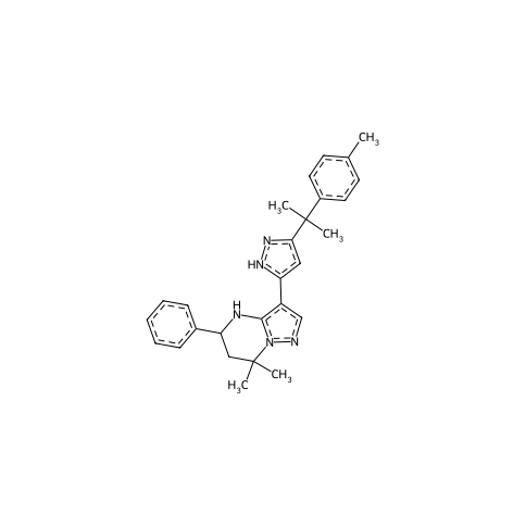 Cc1ccc(C(C)(C)c2cc(-c3cnn4c3NC(c3ccccc3)CC4(C)C)[nH]n2)cc1